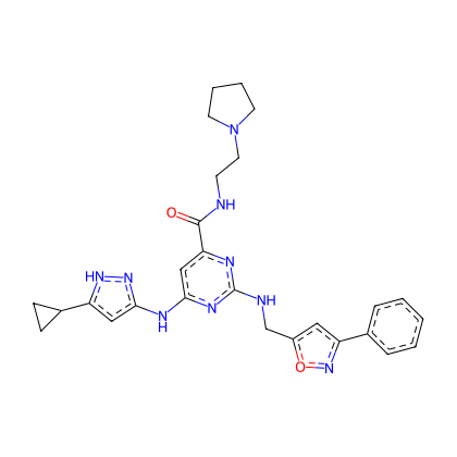 O=C(NCCN1CCCC1)c1cc(Nc2cc(C3CC3)[nH]n2)nc(NCc2cc(-c3ccccc3)no2)n1